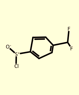 [O-][S+](Cl)c1ccc(C(F)F)cc1